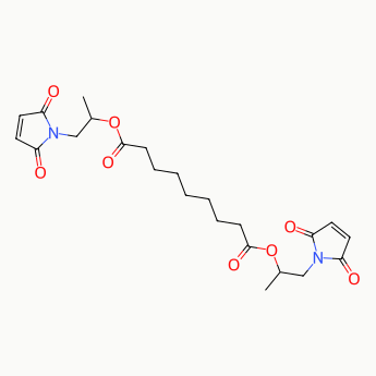 CC(CN1C(=O)C=CC1=O)OC(=O)CCCCCCCC(=O)OC(C)CN1C(=O)C=CC1=O